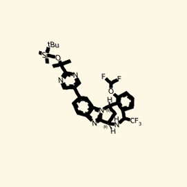 CC(C)(O[Si](C)(C)C(C)(C)C)c1ncc(-c2ccc3nc4n(c3c2)[C@@H]2C[C@H]4NC(C(F)(F)F)c3cccc(OC(F)F)c32)cn1